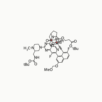 COCOc1cc(-c2ncc3c(N4CC5CCC(COCCC(=O)OC(C)(C)C)(C4)N5C(=O)OC(C)(C)C)nc(N4CCN(C)C(CNC(=O)OC(C)(C)C)C4)nc3c2F)c2c(C#C[Si](C(C)C)(C(C)C)C(C)C)c(F)ccc2c1